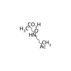 CC(=O)[C@@H](C)CCCCNC(=O)CC[C@H](C)C(=O)O